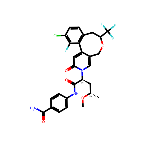 CO[C@@H](C)C[C@@H](C(=O)Nc1ccc(C(N)=O)cc1)n1cc2c(cc1=O)-c1c(ccc(Cl)c1F)CC(C(F)(F)F)OC2